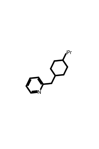 CC(C)C1CCC(Cc2ccccn2)CC1